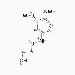 CNc1ccc(NOCCO)cc1OC